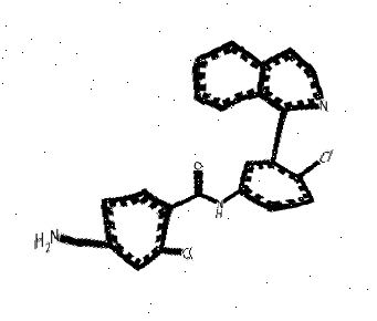 NCc1ccc(C(=O)Nc2ccc(Cl)c(-c3nccc4ccccc34)c2)c(Cl)c1